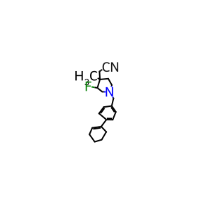 CC1(CC#N)CCN(Cc2ccc(C3=CCCCC3)cc2)CC1F